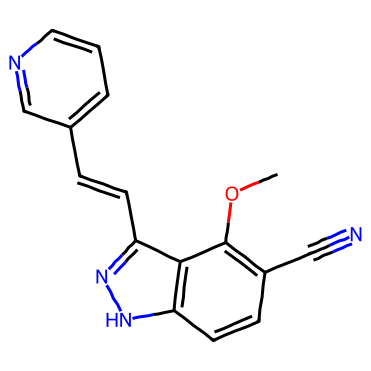 COc1c(C#N)ccc2[nH]nc(C=Cc3cccnc3)c12